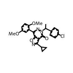 COc1ccc(OC)c(-c2nn(C(C)c3ccc(Cl)cc3)c(=O)c3c(C4CC4)noc23)c1